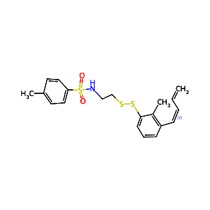 C=C/C=C\c1cccc(SSCCNS(=O)(=O)c2ccc(C)cc2)c1C